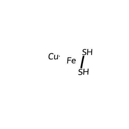 SS.[Cu].[Fe]